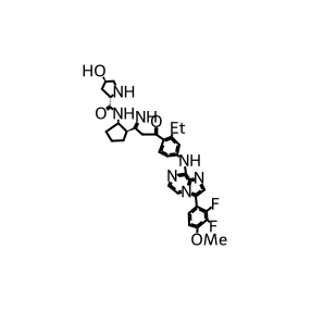 CCc1cc(Nc2nccn3c(-c4ccc(OC)c(F)c4F)cnc23)ccc1C(=O)CC(=N)[C@H]1CCC[C@H]1NC(=O)[C@@H]1C[C@@H](O)CN1